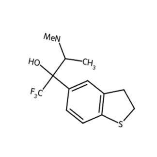 CNC(C)C(O)(c1ccc2c(c1)CCS2)C(F)(F)F